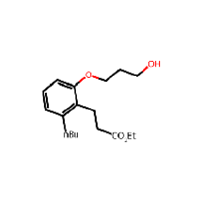 CCCCc1cccc(OCCCO)c1CCC(=O)OCC